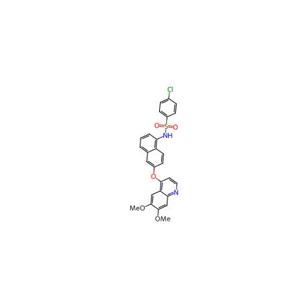 COc1cc2nccc(Oc3ccc4c(NS(=O)(=O)c5ccc(Cl)cc5)cccc4c3)c2cc1OC